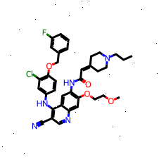 CCCN1CCC(=CC(=O)Nc2cc3c(Nc4ccc(OCc5cccc(F)c5)c(Cl)c4)c(C#N)cnc3cc2OCCOC)CC1